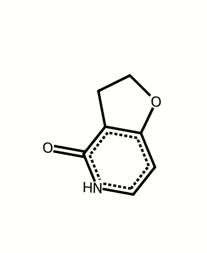 O=c1[nH]ccc2c1CCO2